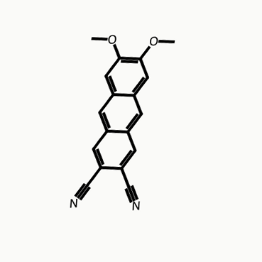 COc1cc2cc3cc(C#N)c(C#N)cc3cc2cc1OC